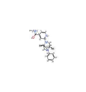 CNC(=O)c1ccnc(N2C[C@H]3C[C@@H]2CN3c2ccccc2)c1